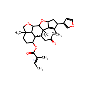 C/C=C(\C)C(=O)OC1CCC2(C)COC3C4OC5CC(c6ccoc6)C(C)=C5C4(C)C(CC(=O)OC)C1(C)C32